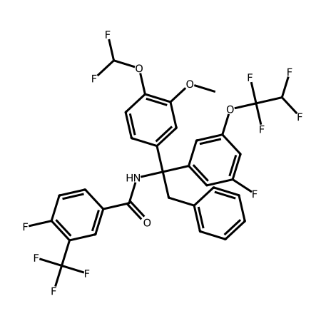 COc1cc(C(Cc2ccccc2)(NC(=O)c2ccc(F)c(C(F)(F)F)c2)c2cc(F)cc(OC(F)(F)C(F)F)c2)ccc1OC(F)F